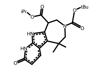 CC(C)OC(=O)C1CN(C(=O)OC(C)(C)C)CC(C)(C)c2c1[nH]c1[nH]c(=O)ccc21